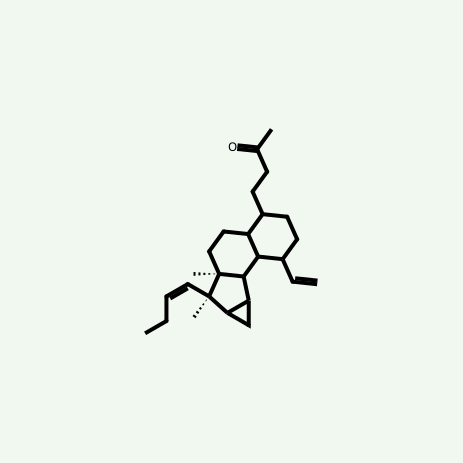 C=CC1CCC(CCC(C)=O)C2CC[C@@]3(C)C(C4CC4[C@@]3(C)/C=C\CC)C12